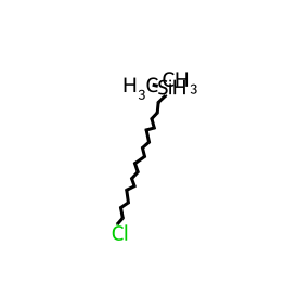 C[SiH](C)CCCCCCCCCCCCCCCCCCCl